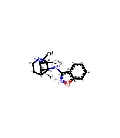 CC1(C)[C@@H](Nc2noc3ccccc23)C2CCN1CC2